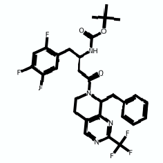 CC(C)(C)OC(=O)N[C@@H](CC(=O)N1CCc2cnc(C(F)(F)F)nc2C1Cc1ccccc1)Cc1cc(F)c(F)cc1F